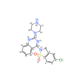 O=S1(=O)c2ccc(Cl)cc2CN1c1nc(N2CCNCC2)nc2ccccc12